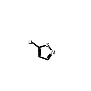 [Li][c]1ccns1